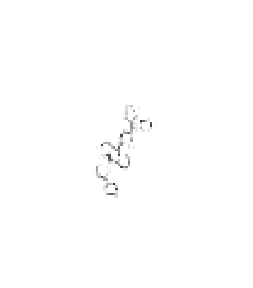 Cc1ccc2c(c1)c1cnccc1n2-c1ccc(-c2c3ccccc3c(-c3cccc(-c4ccccc4)c3)c3ccccc23)cc1